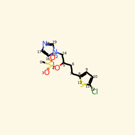 CS(=O)(=O)OC(CCc1ccc(Cl)s1)Cn1ccnc1